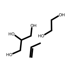 C=CC.OCC(O)CO.OCCO